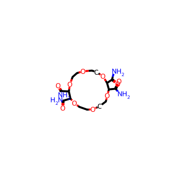 NC(=O)C1OCCOCCOC(C(N)=O)C(C(N)=O)OCCOCCOC1C(N)=O